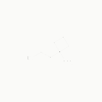 CC(C)(C)CCC1(C(=O)O)CCC1